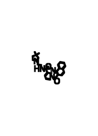 CC1(C)CCN(CCNC(=O)c2cccn3c(=O)c4ccc5ccccc5c4nc23)C1